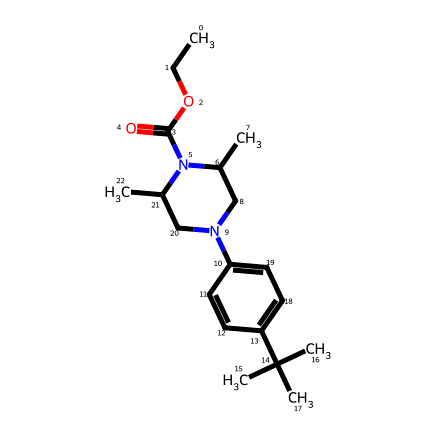 CCOC(=O)N1C(C)CN(c2ccc(C(C)(C)C)cc2)CC1C